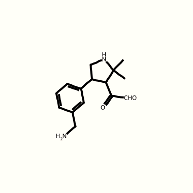 CC1(C)NCC(c2cccc(CN)c2)C1C(=O)C=O